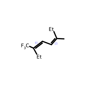 CC/C(C)=C\C=C(/CC)C(F)(F)F